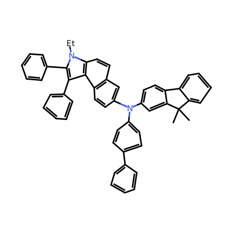 CCn1c(-c2ccccc2)c(-c2ccccc2)c2c3ccc(N(c4ccc(-c5ccccc5)cc4)c4ccc5c(c4)C(C)(C)c4ccccc4-5)cc3ccc21